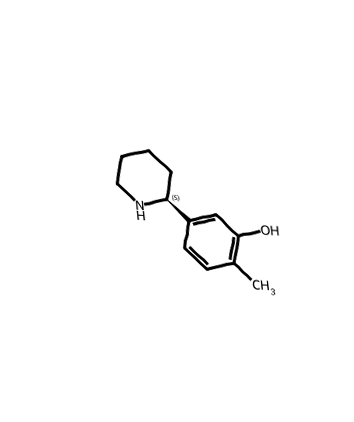 Cc1ccc([C@@H]2CCCCN2)cc1O